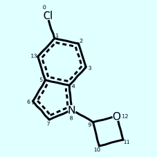 Clc1ccc2c([c]cn2C2CCO2)c1